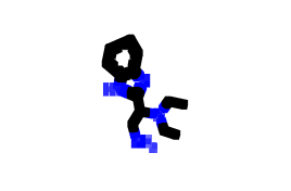 CCN(CC)C(CN)c1nc2ccccc2[nH]1